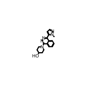 Cn1nccc1-c1nnc(N2CCC(O)CC2)c2ccccc12